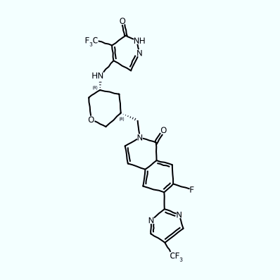 O=c1[nH]ncc(N[C@H]2COC[C@@H](Cn3ccc4cc(-c5ncc(C(F)(F)F)cn5)c(F)cc4c3=O)C2)c1C(F)(F)F